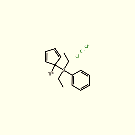 CC[Si](CC)(c1ccccc1)[C]1([Ti+3])C=CC=C1.[Cl-].[Cl-].[Cl-]